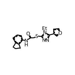 CCn1c(SCC(=O)Nc2cccc3c2CCC3)nnc1-c1ccoc1